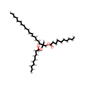 CCCCCCCCCCCCCCCCC(OC(=O)CCCCCCCCC)C(C)(C)COC(=O)CCCCCCCCC